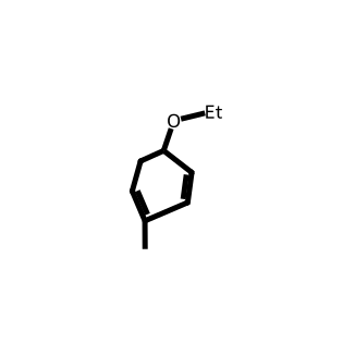 CCOC1C=CC(C)=CC1